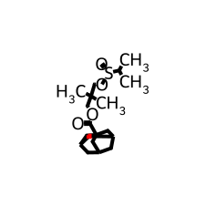 CC(C)S(=O)OCC(C)(C)COC(=O)C12CC3CC(CC(C3)C1)C2